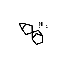 N[C@@H]1C2CCC(C2)C12CC1CC1C2